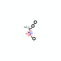 C[C@](O)(NC(=O)OCc1ccccc1)[PH](=O)CC(Cc1ccc(-c2ccccc2)cc1)C(=O)O